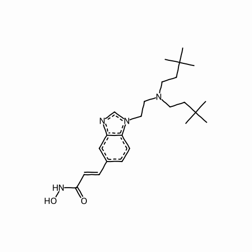 CC(C)(C)CCN(CCn1cnc2cc(C=CC(=O)NO)ccc21)CCC(C)(C)C